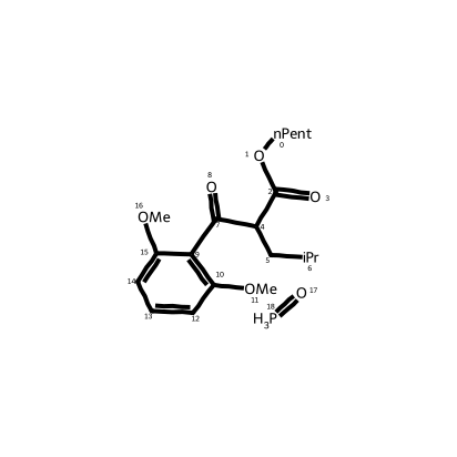 CCCCCOC(=O)C(CC(C)C)C(=O)c1c(OC)cccc1OC.O=[PH3]